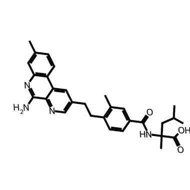 Cc1ccc2c(c1)nc(N)c1ncc(CCc3ccc(C(=O)NC(C)(CC(C)C)C(=O)O)cc3C)cc12